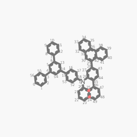 c1ccc(-c2cc(-c3ccccc3)cc(-c3ccc(N(c4ccccc4)c4cc(-c5cc6ccccc6c6ccccc56)ccc4-c4ccccc4)cc3)c2)cc1